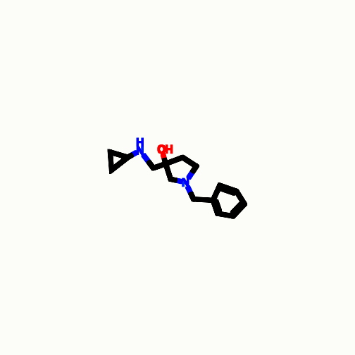 OC1(CNC2CC2)CCN(Cc2ccccc2)C1